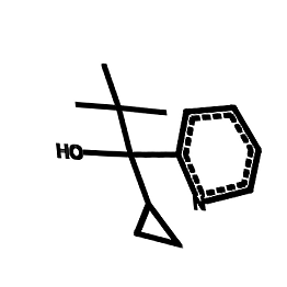 CC(C)(C)C(O)(c1ccccn1)C1CC1